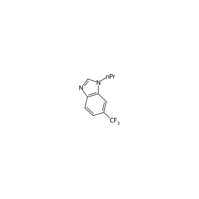 CCCn1cnc2ccc(C(F)(F)F)cc21